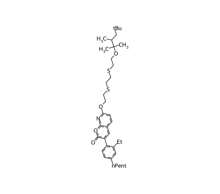 CCCCCc1ccc(-c2cc3ccc(OCCSCCSCCOC(C)(C)C(C)CC(C)(C)C)nc3oc2=O)c(CC)c1